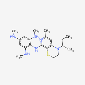 CCC(C)N1CCSc2c1cc(C)nc2Nc1c(NC)cc(NC)cc1NC